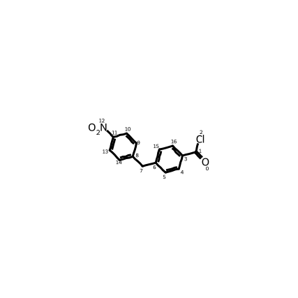 O=C(Cl)c1ccc(Cc2ccc([N+](=O)[O-])cc2)cc1